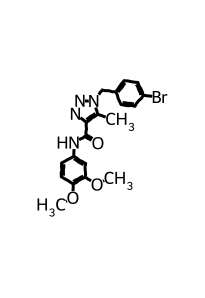 COc1ccc(NC(=O)c2nnn(Cc3ccc(Br)cc3)c2C)cc1OC